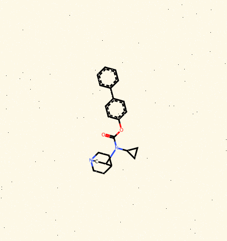 O=C(Oc1ccc(-c2ccccc2)cc1)N(C1CC1)C1CN2CCC1CC2